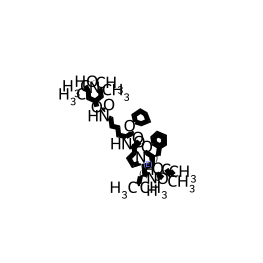 CC(C)C[C@@H](/C=C/[C@H](Cc1ccccc1)C(=O)N1CCCC1C(=O)NC(CCCCNC(=O)OC1CC(C)(C)N(O)C(C)(C)C1)C(=O)OC1CCCCC1)NC(=O)OC(C)(C)C